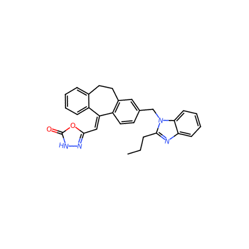 CCCc1nc2ccccc2n1Cc1ccc2c(c1)CCc1ccccc1C2=Cc1n[nH]c(=O)o1